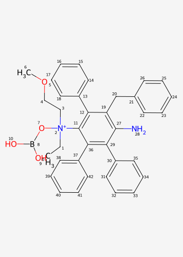 CC[N+](CCOC)(OB(O)O)c1c(-c2ccccc2)c(Cc2ccccc2)c(N)c(-c2ccccc2)c1-c1ccccc1